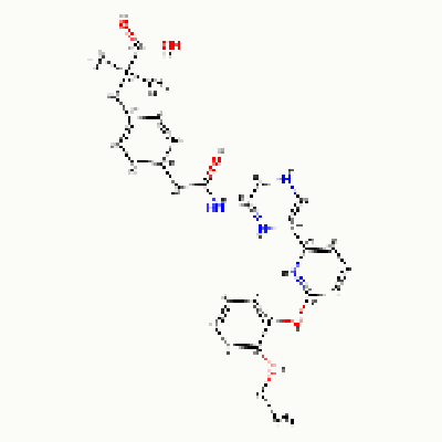 CCOc1ccccc1Oc1cccc(-c2cncc(NC(=O)Cc3ccc(CC(C)(C)C(=O)O)cc3)n2)n1